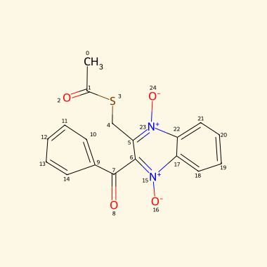 CC(=O)SCc1c(C(=O)c2ccccc2)[n+]([O-])c2ccccc2[n+]1[O-]